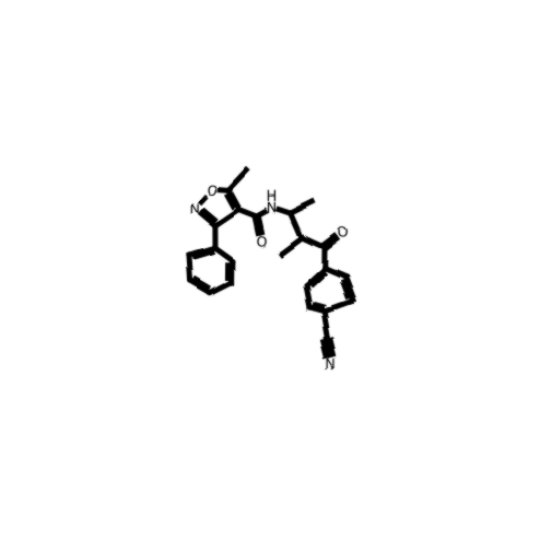 Cc1onc(-c2ccccc2)c1C(=O)NC(C)C(C)C(=O)c1ccc(C#N)cc1